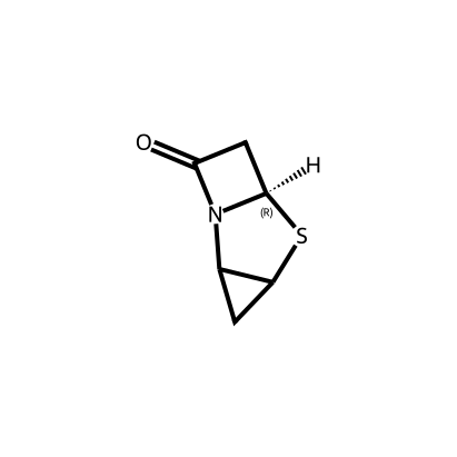 O=C1C[C@H]2SC3CC3N12